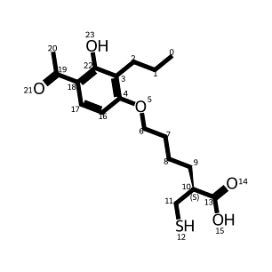 CCCc1c(OCCCC[C@H](CS)C(=O)O)ccc(C(C)=O)c1O